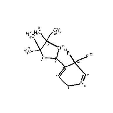 CC1(C)OB(C2=CCN=CC2(F)F)OC1(C)C